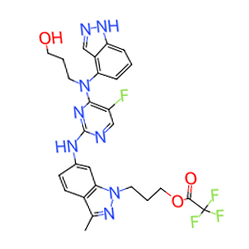 Cc1nn(CCCOC(=O)C(F)(F)F)c2cc(Nc3ncc(F)c(N(CCCO)c4cccc5[nH]ncc45)n3)ccc12